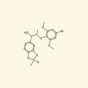 COc1cc(Br)cc(OC)c1OC(C)C(O)c1ccc2c(c1)OC(F)(F)O2